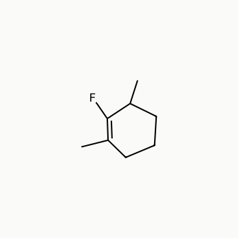 CC1=C(F)C(C)CCC1